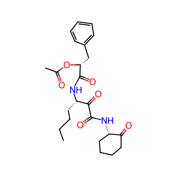 CCCC[C@H](NC(=O)[C@@H](Cc1ccccc1)OC(C)=O)C(=O)C(=O)N[C@H]1CCCCC1=O